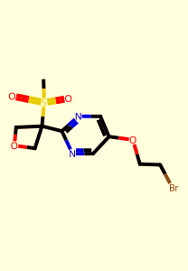 CS(=O)(=O)C1(c2ncc(OCCBr)cn2)COC1